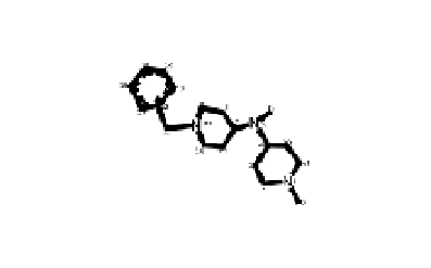 CN1CCC(N(C)C2CCN(Cc3ccccc3)CC2)CC1